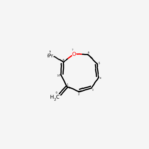 C=C1/C=C\C=C/CO/C(C(C)C)=C\1